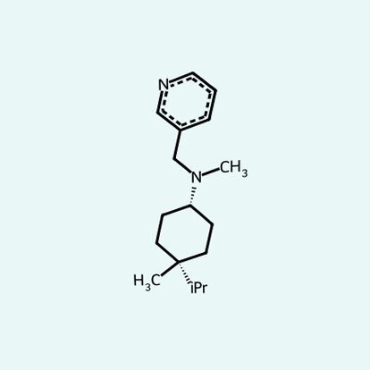 CC(C)[C@]1(C)CC[C@H](N(C)Cc2cccnc2)CC1